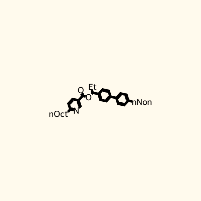 CCCCCCCCCc1ccc(-c2ccc(C(CC)OC(=O)c3ccc(CCCCCCCC)nc3)cc2)cc1